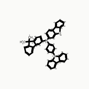 CC1(C)c2ccccc2-c2cc(N(c3ccc(-n4c5ccccc5c5ccccc54)cc3)c3ccc4c(c3)oc3ccccc34)ccc21